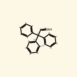 [SbH]=[CH]C(c1ccccc1)(c1ccccc1)c1ccccc1